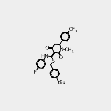 CN1C(=O)C(=C(Nc2ccc(F)cc2)SCc2ccc(C(C)(C)C)cc2)C(=O)CC1c1ccc(C(F)(F)F)cc1